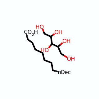 CCCCCCCCCCCCCCCCCC(=O)O.OCC(O)C(O)C(O)CO